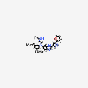 COc1cc(OC)cc(N(CCNC(C)C)c2ccc3ncc(C4=CC(C5CCCCO5)N=C4)nc3c2)c1